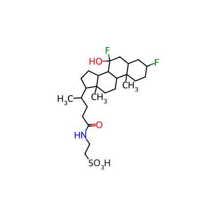 CC(CCC(=O)NCCS(=O)(=O)O)C1CCC2C3C(CCC12C)C1(C)CCC(F)CC1CC3(O)F